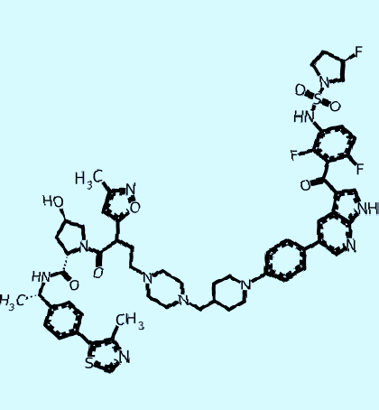 Cc1cc(C(CCN2CCN(CC3CCN(c4ccc(-c5cnc6[nH]cc(C(=O)c7c(F)ccc(NS(=O)(=O)N8CC[C@@H](F)C8)c7F)c6c5)cc4)CC3)CC2)C(=O)N2C[C@H](O)C[C@H]2C(=O)N[C@@H](C)c2ccc(-c3scnc3C)cc2)on1